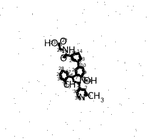 Cc1cc(C(CC(c2cccc(-c3cccc(C(=O)NCC(=O)O)c3)c2)c2ccccc2C)=NO)ccn1